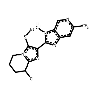 CCSc1c(-c2nc3cc(C(F)(F)F)ncc3n2C)nc2n1CCCC2Cl